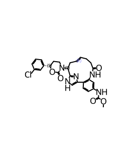 COC(=O)Nc1ccc2c(c1)NC(=O)CC/C=C/C[C@H](N1CC[C@@H](c3cccc(Cl)c3)OC1=O)c1nc-2c[nH]1